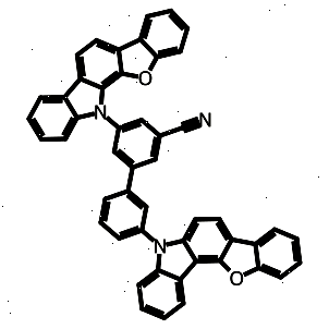 N#Cc1cc(-c2cccc(-n3c4ccccc4c4c5oc6ccccc6c5ccc43)c2)cc(-n2c3ccccc3c3ccc4c5ccccc5oc4c32)c1